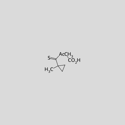 CC(=O)C(=S)C1(C)CC1.CC(=O)O